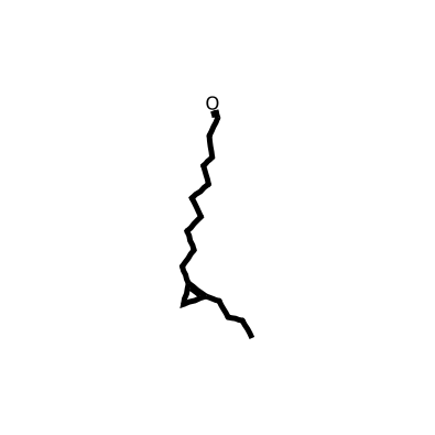 CCCCC1=C(CCCCCCCCCC=O)C1